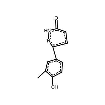 Cc1cc(-c2ccc(=O)[nH]n2)ccc1O